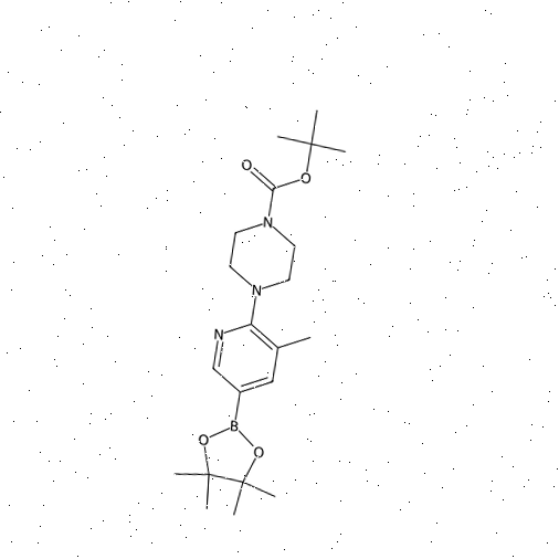 Cc1cc(B2OC(C)(C)C(C)(C)O2)cnc1N1CCN(C(=O)OC(C)(C)C)CC1